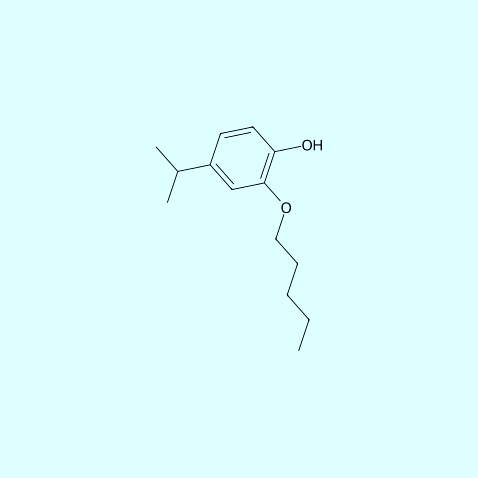 CCCCCOc1cc(C(C)C)ccc1O